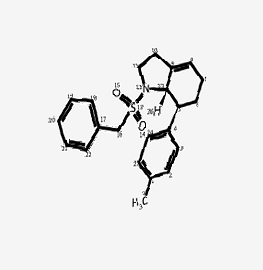 Cc1ccc([C@@H]2CCC=C3CCN(S(=O)(=O)Cc4ccccc4)[C@H]32)cc1